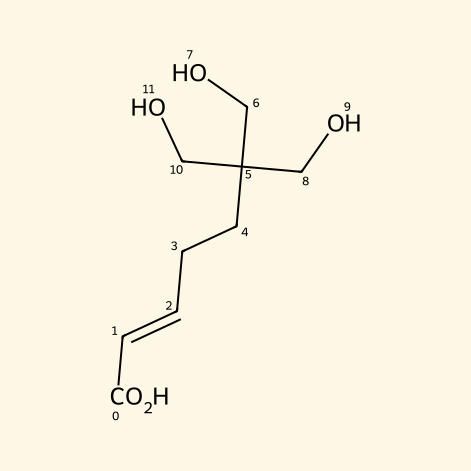 O=C(O)C=CCCC(CO)(CO)CO